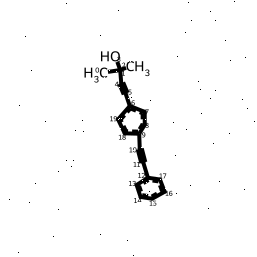 CC(C)(O)C#Cc1ccc(C#Cc2ccccc2)cc1